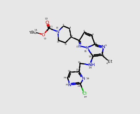 CCc1nc2ccc(C3CCN(C(=O)OC(C)(C)C)CC3)nn2c1NCc1ccnc(Cl)n1